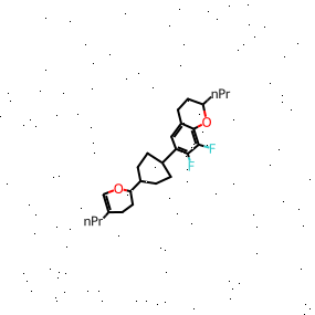 CCCC1=COC(C2CCC(c3cc4c(c(F)c3F)OC(CCC)CC4)CC2)CC1